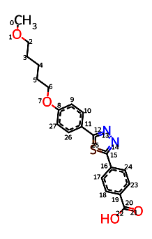 COCCCCCOc1ccc(-c2nnc(-c3ccc(C(=O)O)cc3)s2)cc1